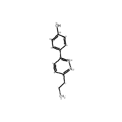 [CH2]CCc1ccc(-c2ccc(O)cc2)nn1